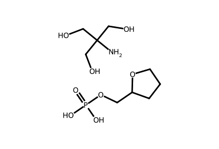 NC(CO)(CO)CO.O=P(O)(O)OCC1CCCO1